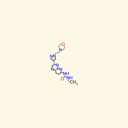 CCNC(=O)Nc1ccc2ncc(-c3cnn(CCN4CCOCC4)c3)nc2n1